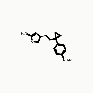 CC(=O)Nc1ccc(C2(CC[C@H]3COC(N)=N3)CC2)cc1